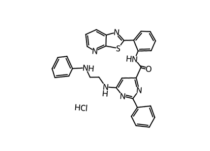 Cl.O=C(Nc1ccccc1-c1nc2cccnc2s1)c1cc(NCCNc2ccccc2)nc(-c2ccccc2)n1